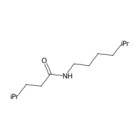 CC(C)CCCCNC(=O)CCC(C)C